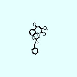 COc1cc(=O)c2ccccc2n(CC(=O)OCc2ccccc2)c1=O